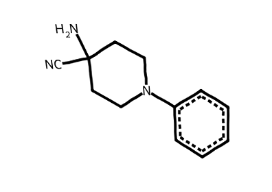 N#CC1(N)CCN(c2ccccc2)CC1